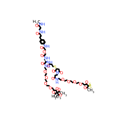 CNC(=O)CCNC(=O)CCc1ccc(NC(=O)COCC(=O)NC[C@@H](NC(=O)CCSC2CC(=O)N(CCC(=O)NCCOCCOCCOCCOCCC(=O)C3(C(C)=O)SS3)C2=O)C(=O)NCCOCCOCCOCCOCCC(=O)C(C(C)=O)(C(C)=O)C(C)=O)cc1